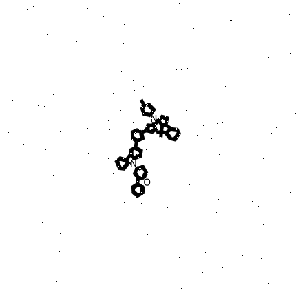 Cc1ccc(N2C3(C=CC(c4cccc(-c5ccc6c(c5)c5ccccc5n6-c5ccc6oc7ccccc7c6c5)c4)=C3)[C@@]23C=CC2=C3C(C)(C)c3ccccc32)cc1